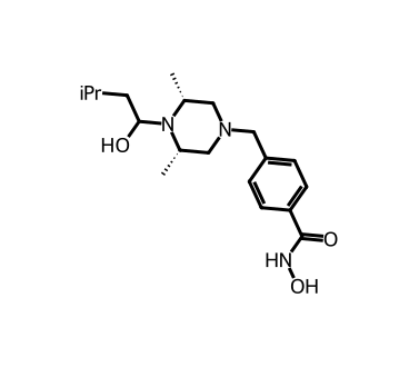 CC(C)CC(O)N1[C@H](C)CN(Cc2ccc(C(=O)NO)cc2)C[C@@H]1C